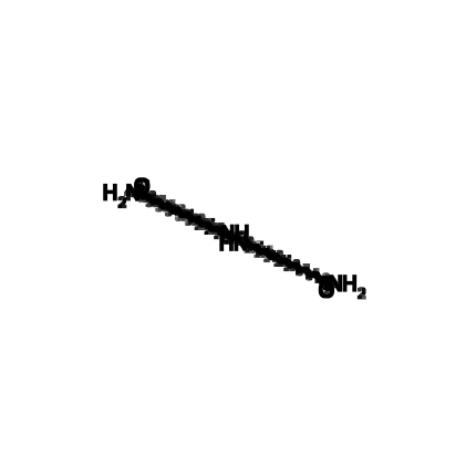 NC(=O)CCCCCCCCCCCCCCCCCNCCNCCCCCCCCCCCCCCCCCC(N)=O